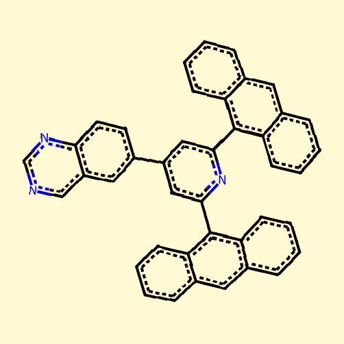 c1ccc2c(-c3cc(-c4ccc5ncncc5c4)cc(-c4c5ccccc5cc5ccccc45)n3)c3ccccc3cc2c1